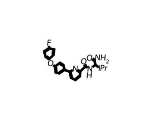 CC(C)C(NC(=O)c1cccc(-c2ccc(Oc3ccc(F)cc3)cc2)n1)C(N)=O